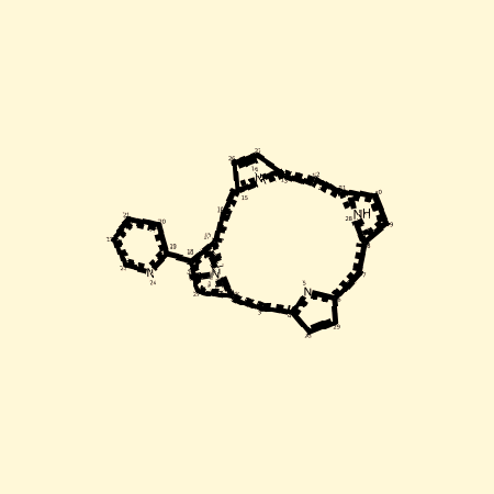 Cn1c2cc3nc(cc4ccc(cc5nc(cc1c(-c1ccccn1)c2)C=C5)[nH]4)C=C3